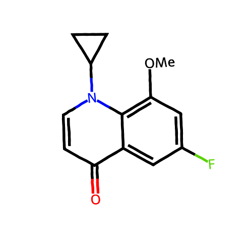 COc1cc(F)cc2c(=O)ccn(C3CC3)c12